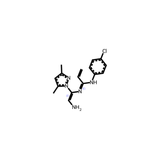 C=C/C(=N\C(=C/N)n1nc(C)cc1C)Nc1ccc(Cl)cc1